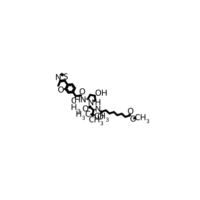 COC(=O)CCCCCCC(=O)N[C@H](C(=O)N1C[C@H](O)C[C@H]1NC(=O)[C@@H](C)c1ccc2c(c1)OCc1ncsc1-2)C(C)(C)C